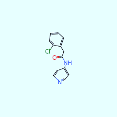 O=C(Cc1ccccc1Cl)Nc1ccncc1